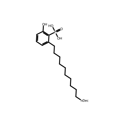 CCCCCCCCCCCCCCCCCCCCc1cccc(O)c1P(=O)(O)O